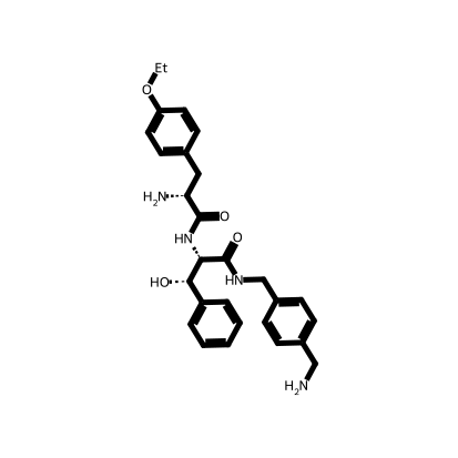 CCOc1ccc(C[C@@H](N)C(=O)N[C@H](C(=O)NCc2ccc(CN)cc2)[C@@H](O)c2ccccc2)cc1